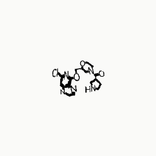 O=C([C@H]1CCNC1)N1CCO[C@H](COc2nc(Cl)cc3nccnc23)C1